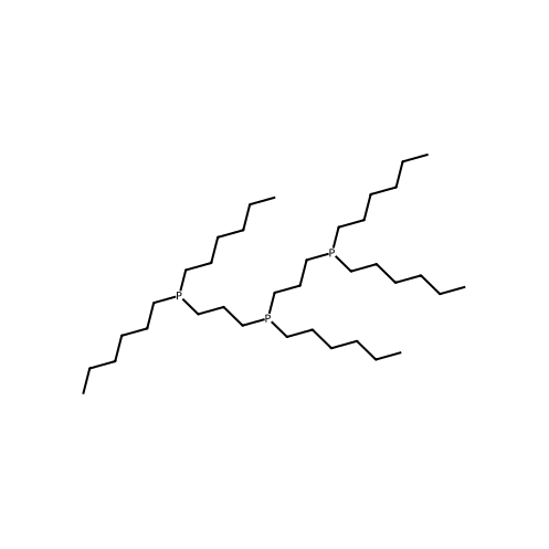 CCCCCCP(CCCCCC)CCCP(CCCCCC)CCCP(CCCCCC)CCCCCC